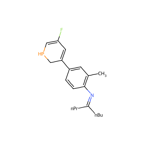 CCCC/C(CCC)=N/c1ccc(C2=CC(F)=CPC2)cc1C